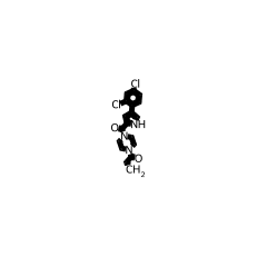 C=CC(=O)N1CCN(C(=O)c2cc(-c3ccc(Cl)cc3Cl)c[nH]2)CC1